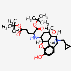 CO[C@@]12CC[C@H](N[C@@H](CCC(=O)OC(C)(C)C)C(=O)OC(C)(C)C)[C@@H]3Oc4c(O)ccc5c4[C@@]31CCN(CC1CC1)[C@@H]2C5